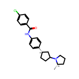 C[C@H]1CCCN1C1CC[C@H](c2ccc(NC(=O)c3ccc(Cl)cc3)cc2)C1